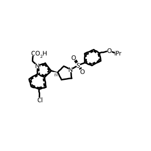 CC(C)Oc1ccc(S(=O)(=O)N2CC[C@@H](c3cn(CC(=O)O)c4ccc(Cl)cc34)C2)cc1